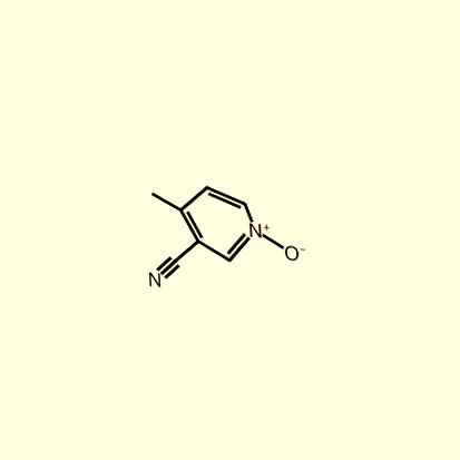 Cc1cc[n+]([O-])cc1C#N